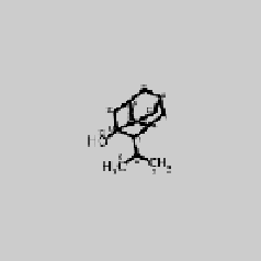 CC(C)C1C2CC3CC(C2)CC1(O)C3